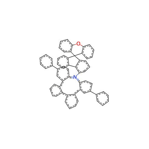 c1ccc(-c2ccc3c(c2)c2ccccc2c2ccccc2c2cc(-c4ccccc4)ccc2n3-c2cccc3c2-c2ccccc2C32c3ccccc3Oc3ccccc32)cc1